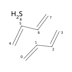 C=CC=C.C=CC=C.S